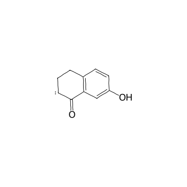 O=C1[C]CCc2ccc(O)cc21